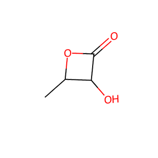 CC1OC(=O)C1O